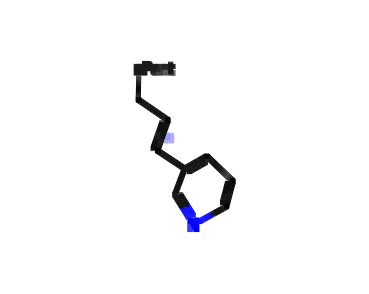 CCCCCC/C=C/c1cccnc1